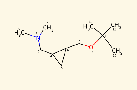 CN(C)CC1CC1COC(C)(C)C